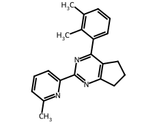 Cc1cccc(-c2nc3c(c(-c4cccc(C)c4C)n2)CCC3)n1